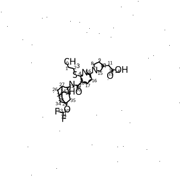 CCCSc1nc(N2CC[C@@H](CC(=O)O)C2)ccc1C(=O)NC1C2CC3CC1CC(OC(F)F)(C3)C2